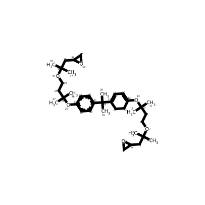 CC(C)(CC1CO1)OCCC(C)(C)OC1=CC=C(C(C)(C)c2ccc(OC(C)(C)CCOC(C)(C)CC3CO3)cc2)CC1